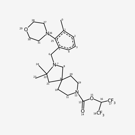 Cc1cccc(CN2CC3(CCN(C(=O)OC(C(F)(F)F)C(F)(F)F)CC3)CC2(C)C)c1N1CCOCC1